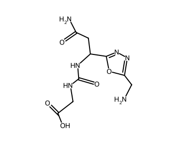 NCc1nnc(C(CC(N)=O)NC(=O)NCC(=O)O)o1